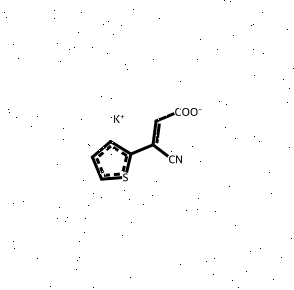 N#CC(=CC(=O)[O-])c1cccs1.[K+]